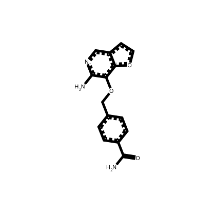 NC(=O)c1ccc(COc2c(N)ncc3ccoc23)cc1